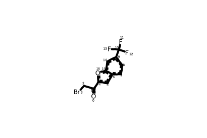 O=C(CBr)c1cc2ccc(C(F)(F)F)cc2o1